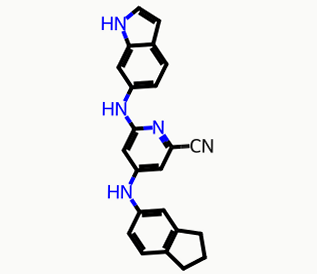 N#Cc1cc(Nc2ccc3c(c2)CCC3)cc(Nc2ccc3cc[nH]c3c2)n1